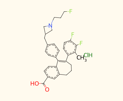 Cc1c(C2=C(c3ccc(CC4CN(CCCF)C4)cc3)c3ccc(C(=O)O)cc3CCC2)ccc(F)c1F.Cl